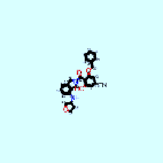 N#Cc1cc(O)c(C(=O)N2Cc3cccc(N[C@H]4CCOC4)c3C2)c(OCc2ccccc2)c1